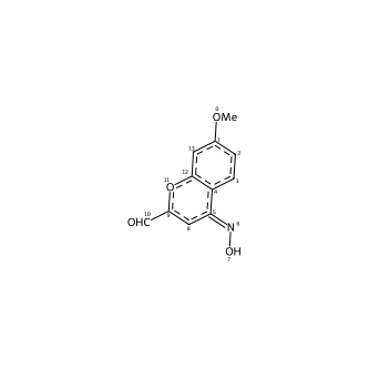 COc1ccc2c(=NO)cc(C=O)oc2c1